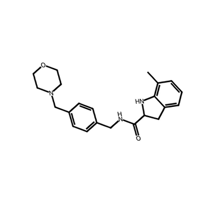 Cc1cccc2c1NC(C(=O)NCc1ccc(CN3CCOCC3)cc1)C2